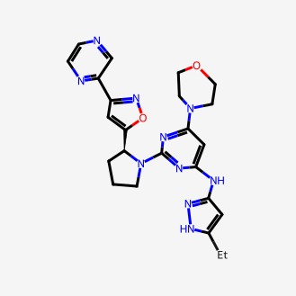 CCc1cc(Nc2cc(N3CCOCC3)nc(N3CCC[C@H]3c3cc(-c4cnccn4)no3)n2)n[nH]1